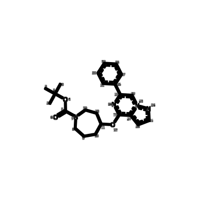 CC(C)(C)OC(=O)N1CCCC(Oc2nc(-c3ccccc3)cn3nccc23)CC1